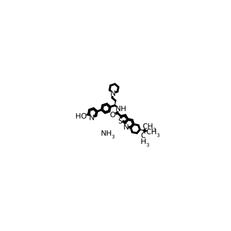 CC(C)(C)[C@H]1CCc2nc3sc(C(=O)N[C@H](CCN4CCCCC4)c4ccc(-c5ccc(O)nc5)cc4)cc3cc2C1.N